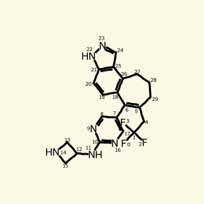 FC(F)(F)CC1=C(c2cnc(NC3CNC3)nc2)c2ccc3[nH]ncc3c2CCC1